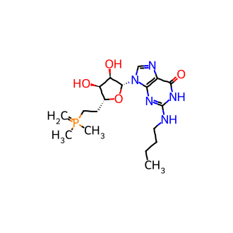 C=P(C)(C)CC[C@H]1O[C@@H](n2cnc3c(=O)[nH]c(NCCCC)nc32)[C@H](O)[C@@H]1O